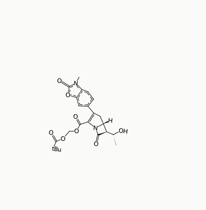 C[C@@H](O)[C@H]1C(=O)N2C(C(=O)OCOC(=O)C(C)(C)C)=C(c3ccc4c(c3)oc(=O)n4C)C[C@H]12